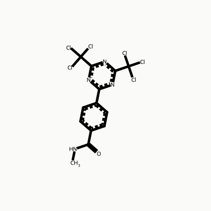 CNC(=O)c1ccc(-c2nc(C(Cl)(Cl)Cl)nc(C(Cl)(Cl)Cl)n2)cc1